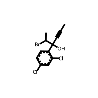 CC#CC(O)(c1ccc(Cl)cc1Cl)C(C)Br